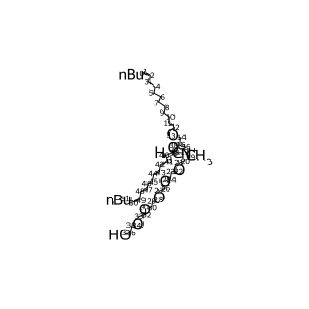 CCCC/C=C\CCCCCCCCCCOCC(C[N+](C)(C)CCOCCOCCOCCOCCOCCO)OCCCCCCCCCC/C=C\CCCC